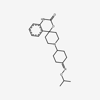 CC(C)ON=C1CCC(N2CCC3(CC2)OC(=O)Nc2ccccc23)CC1